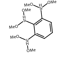 CO[SiH](OC)c1cccc([SiH](OC)OC)c1[SiH](OC)OC